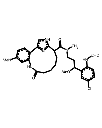 CNc1ccc2c(c1)NC(=O)CCCCC(C(=O)N(C)CCC(OC)c1cc(Cl)ccc1NC=O)c1nc-2c[nH]1